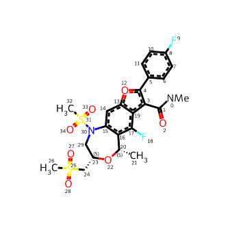 CNC(=O)c1c(-c2ccc(F)cc2)oc2cc3c(c(F)c12)[C@H](C)O[C@H](CS(C)(=O)=O)CN3S(C)(=O)=O